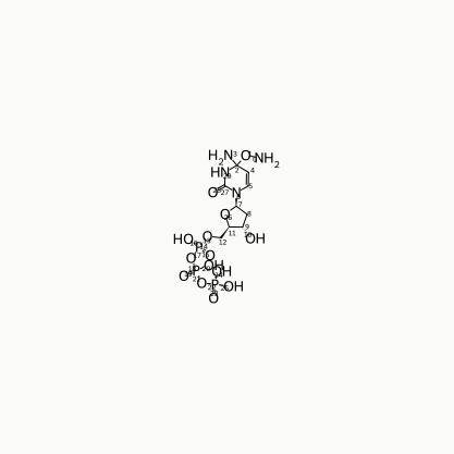 NOC1(N)C=CN([C@H]2C[C@H](O)[C@@H](COP(=O)(O)OP(=O)(O)OP(=O)(O)O)O2)C(=O)N1